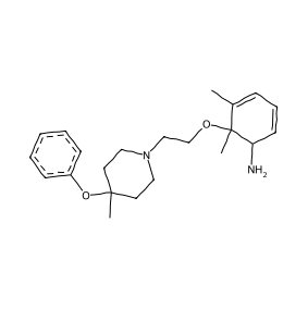 CC1=CC=CC(N)C1(C)OCCN1CCC(C)(Oc2ccccc2)CC1